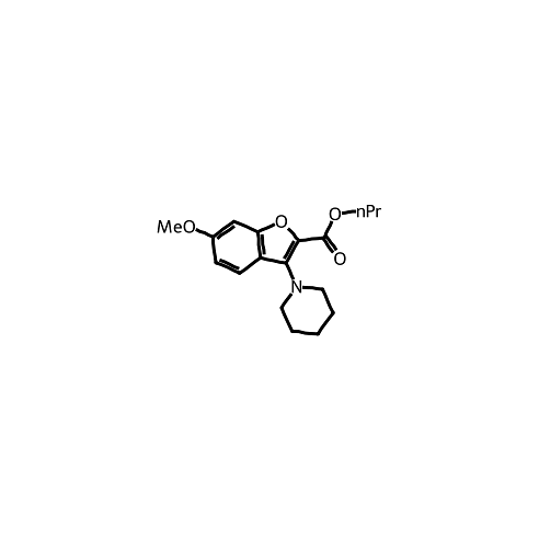 CCCOC(=O)c1oc2cc(OC)ccc2c1N1CCCCC1